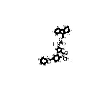 CN(C(=O)C1CCC(NC(=O)OCC2c3ccccc3-c3ccccc32)C1)c1ccc(-c2nc3ccccc3o2)cc1